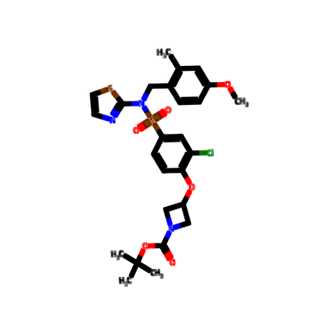 COc1ccc(CN(c2nccs2)S(=O)(=O)c2ccc(OC3CN(C(=O)OC(C)(C)C)C3)c(Cl)c2)c(C)c1